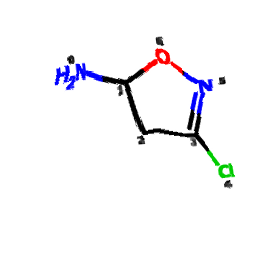 NC1CC(Cl)=NO1